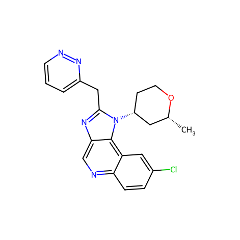 C[C@@H]1C[C@H](n2c(Cc3cccnn3)nc3cnc4ccc(Cl)cc4c32)CCO1